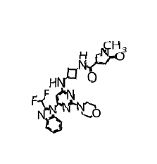 CN1CC(C(=O)N[C@H]2C[C@H](Nc3cc(-n4c(C(F)F)nc5ccccc54)nc(N4CCOCC4)n3)C2)CC1=O